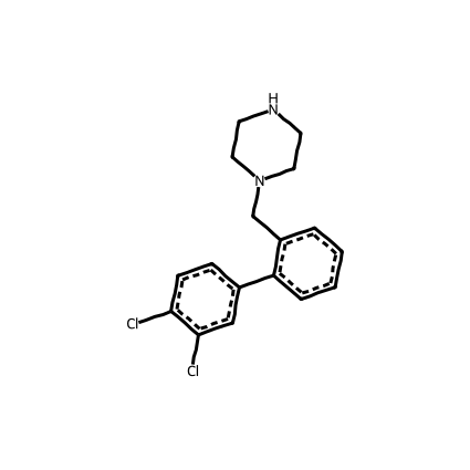 Clc1ccc(-c2ccccc2CN2CCNCC2)cc1Cl